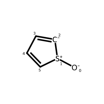 [O-][s+]1[c-]ccc1